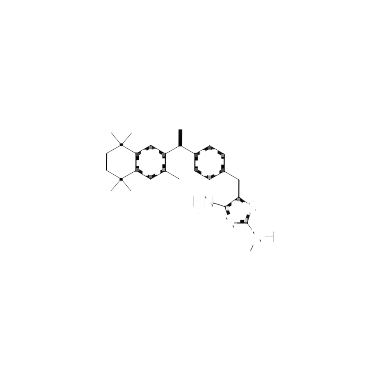 C=C(c1ccc(Cc2sc(NC)nc2N)cc1)c1cc2c(cc1C)C(C)(C)CCC2(C)C